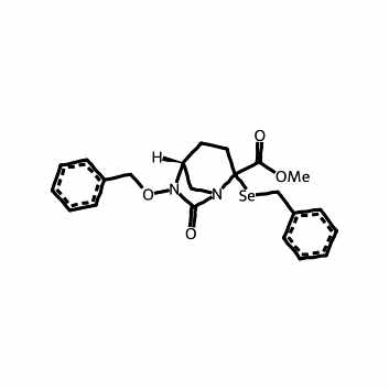 COC(=O)C1([Se]Cc2ccccc2)CC[C@@H]2CN1C(=O)N2OCc1ccccc1